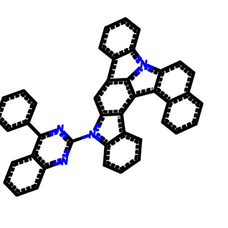 c1ccc(-c2nc(-n3c4ccccc4c4c5c6c7ccccc7ccc6n6c7ccccc7c(cc43)c56)nc3ccccc23)cc1